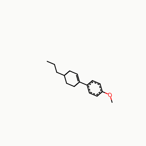 CCCC1CC=C(c2ccc(OC)cc2)CC1